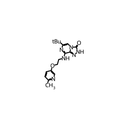 Cc1ccc(OCCNc2nc(C(C)(C)C)cn3c(=O)[nH]nc23)cn1